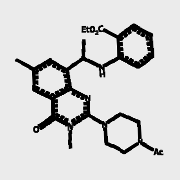 CCOC(=O)c1ccccc1NC(C)c1cc(C)cc2c(=O)n(C)c(N3CCN(C(C)=O)CC3)nc12